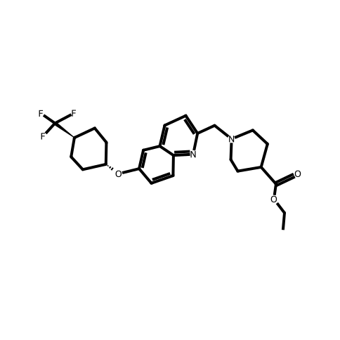 CCOC(=O)C1CCN(Cc2ccc3cc(O[C@H]4CC[C@H](C(F)(F)F)CC4)ccc3n2)CC1